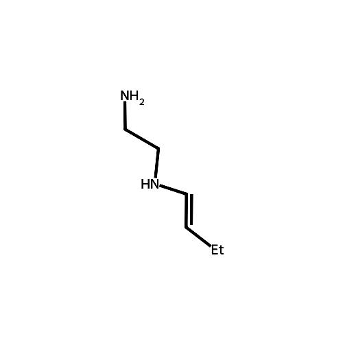 CCC=CNCCN